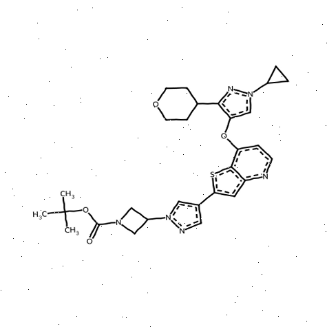 CC(C)(C)OC(=O)N1CC(n2cc(-c3cc4nccc(Oc5cn(C6CC6)nc5C5CCOCC5)c4s3)cn2)C1